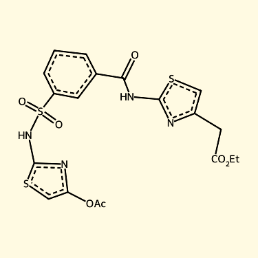 CCOC(=O)Cc1csc(NC(=O)c2cccc(S(=O)(=O)Nc3nc(OC(C)=O)cs3)c2)n1